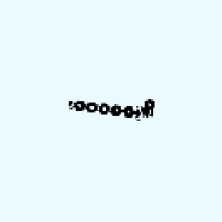 COc1ccc(C2CCC(N3CCN(c4ccc(-c5ccc(C(=O)On6nnc7ccccc76)cc5)cc4)CC3)CC2)cc1